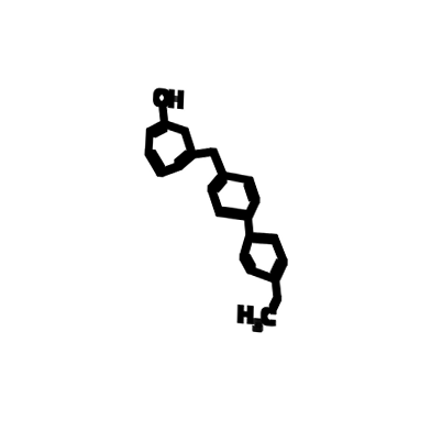 CCc1ccc(-c2ccc(CC3=CC=CC=C(O)C3)cc2)cc1